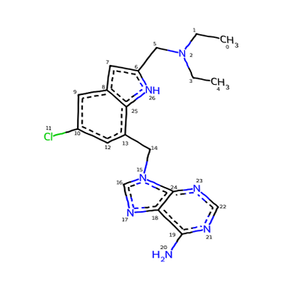 CCN(CC)Cc1cc2cc(Cl)cc(Cn3cnc4c(N)ncnc43)c2[nH]1